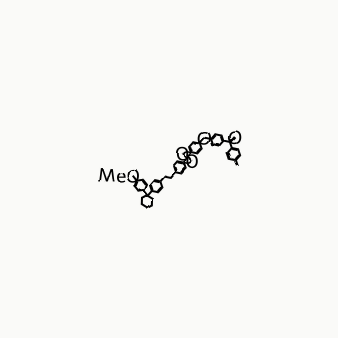 COc1ccc(C2(c3ccc(CCc4ccc(S(=O)(=O)c5ccc(Oc6ccc(C(=O)c7ccc(C)cc7)cc6)cc5)cc4)cc3)CCCCC2)cc1